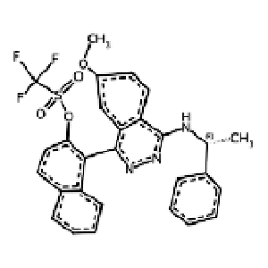 COc1ccc2c(N[C@H](C)c3ccccc3)nnc(-c3c(OS(=O)(=O)C(F)(F)F)ccc4ccccc34)c2c1